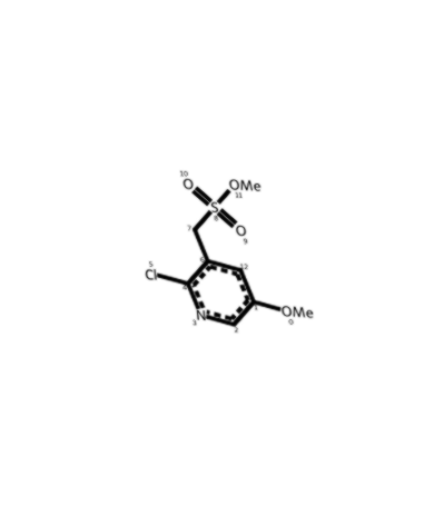 COc1cnc(Cl)c(CS(=O)(=O)OC)c1